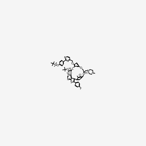 Cc1c2ccc(c1Cl)O[C@H](CN1CCN(C)CC1)COc1ccc(OCc3ccnc(-c4ccc(O[Si](C)(C)C(C)(C)C)cc4)n3)c(c1)C[C@H](C(=O)OC(C)(C)C)Oc1ncnc3sc(-c4ccc(F)cc4)c-2c13